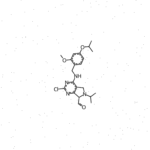 COc1cc(OC(C)C)ccc1CNc1nc(Cl)nc2c1CN(C(C)C)C2C=O